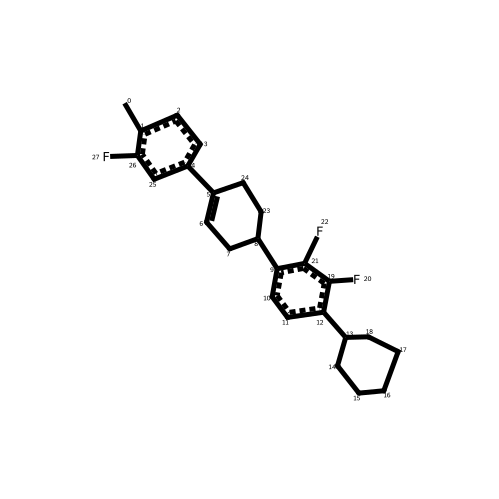 Cc1ccc(C2=CCC(c3ccc(C4CCCCC4)c(F)c3F)CC2)cc1F